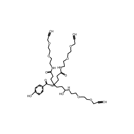 C#CCOCCOCCNC(=O)CCC(CCC(=O)NCCOCCOCC#C)(CCC(O)NCCOCCOCC#C)NC(=O)c1ccc(O)cc1